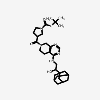 CC(C)(C)OC(=O)N1CCC(C(=O)N2CCc3c(ncnc3NCC(O)C34CC5CC(CC(C5)C3)C4)C2)C1